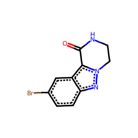 O=C1NCCn2nc3ccc(Br)cc3c21